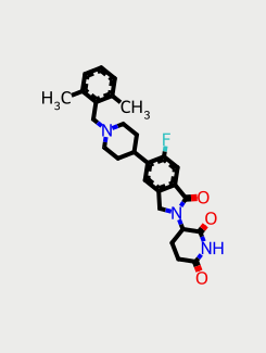 Cc1cccc(C)c1CN1CCC(c2cc3c(cc2F)C(=O)N(C2CCC(=O)NC2=O)C3)CC1